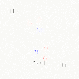 C=CCOC(=O)NCCCN(CC(=O)O)C(=O)OCC=C